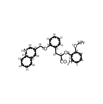 CC(C)Oc1ccccc1OC(Cc1ccccc1OCc1cnc2ccccc2c1)C(=O)O